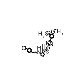 COc1ccc(-c2cnc(SCC(=O)N[C@@H]3CCC[C@H]3NCCCc3ccc(Cl)cc3)nc2)cc1OC